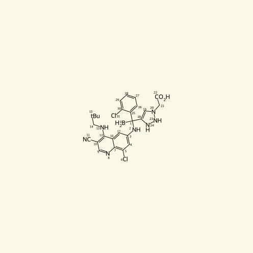 BC(Nc1cc(Cl)c2ncc(C#N)c(NCC(C)(C)C)c2c1)(C1=CN(CC(=O)O)NN1)c1ccccc1Cl